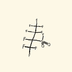 O=S(=O)(F)C(F)(C(F)(F)F)C(F)(F)C(F)(F)F